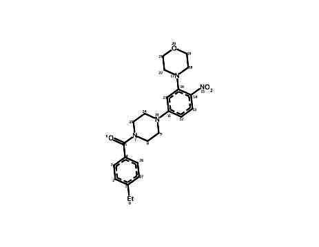 CCc1ccc(C(=O)N2CCN(c3ccc([N+](=O)[O-])c(N4CCOCC4)c3)CC2)cc1